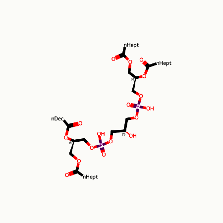 CCCCCCCCCCC(=O)O[C@H](COC(=O)CCCCCCC)COP(=O)(O)OC[C@@H](O)COP(=O)(O)OC[C@@H](COC(=O)CCCCCCC)OC(=O)CCCCCCC